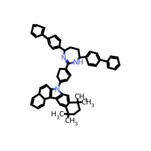 CC1(C)CCC(C)(C)c2cc3c(cc21)c1c(n3C2=CC=C(C3=NC(c4ccc(-c5ccccc5)cc4)CCC(c4ccc(-c5ccccc5)cc4)N3)CC2)C=CC2C=CC=CC12